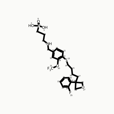 O=P(O)(O)CCCNCc1ccc(SCCCCC2(c3ccccc3F)COC2)c(OC(F)(F)F)c1